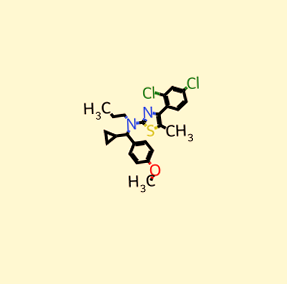 CCCN(c1nc(-c2ccc(Cl)cc2Cl)c(C)s1)C(c1ccc(OC)cc1)C1CC1